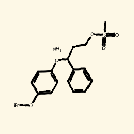 CC(C)Oc1ccc(OC(CCOS(C)(=O)=O)c2ccccc2)cc1.N